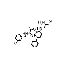 CC(Oc1nc(-c2ccccc2)ccc1NCC(N)CS)C(=O)NCc1cccc(Br)c1